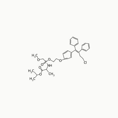 COCP(=O)(NC(C)C(=O)OC(C)C)OCCOc1ccc(/C(=C(\CCCl)c2ccccc2)c2ccccc2)cc1